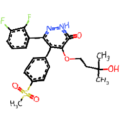 CC(C)(O)CCOc1c(-c2ccc(S(C)(=O)=O)cc2)c(-c2cccc(F)c2F)n[nH]c1=O